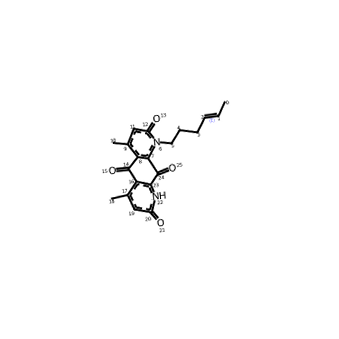 C/C=C/CCCn1c2c(c(C)cc1=O)C(=O)c1c(C)cc(=O)[nH]c1C2=O